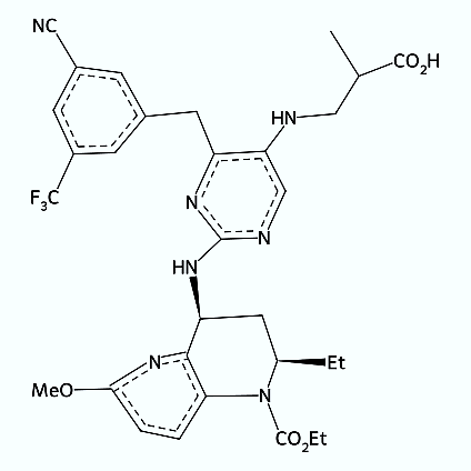 CCOC(=O)N1c2ccc(OC)nc2[C@@H](Nc2ncc(NCC(C)C(=O)O)c(Cc3cc(C#N)cc(C(F)(F)F)c3)n2)C[C@H]1CC